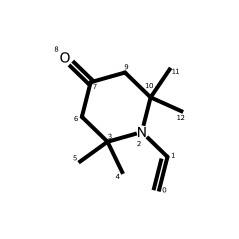 C=CN1C(C)(C)CC(=O)CC1(C)C